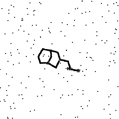 BrNCN1CN2CCCN(C2)C1